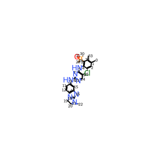 Cc1ccc(Nc2nc(Nc3ccc4c(c3)nc3n4CCN3C)ncc2Cl)c(P(C)(C)=O)c1C